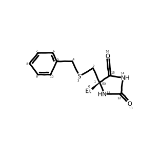 CC[C@]1(CSCc2ccccc2)NC(=O)NC1=O